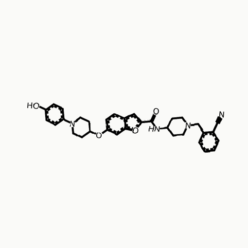 N#Cc1ccccc1CN1CCC(NC(=O)c2cc3ccc(OC4CCN(c5ccc(O)cc5)CC4)cc3o2)CC1